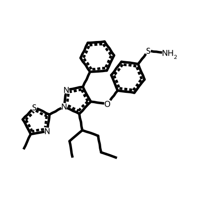 CCCC(CC)c1c(Oc2ccc(SN)cc2)c(-c2ccccc2)nn1-c1nc(C)cs1